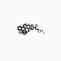 CCCC(=O)c1nc(Cc2ccc(-c3ccccc3-c3nnn[nH]3)cn2)n(CCC)n1